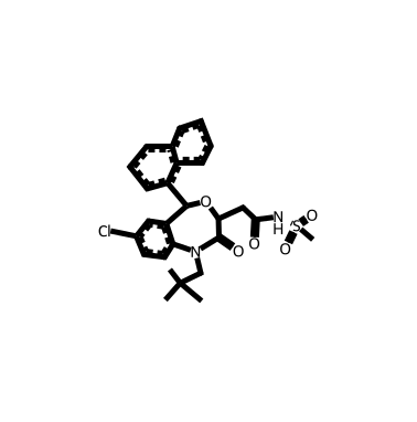 CC(C)(C)CN1C(=O)C(CC(=O)NS(C)(=O)=O)OC(c2cccc3ccccc23)c2cc(Cl)ccc21